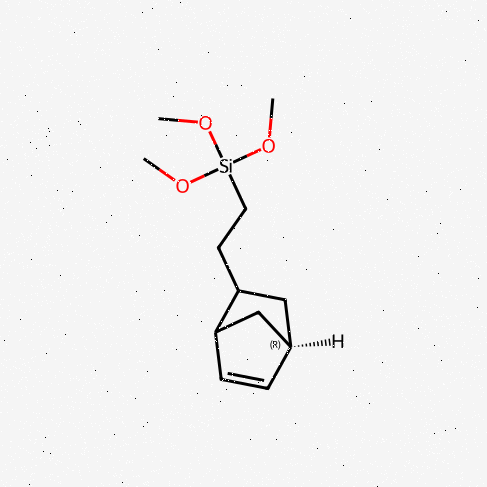 CO[Si](CCC1C[C@H]2C=CC1C2)(OC)OC